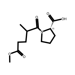 COC(=O)CCC(C)C(=O)N1CCC[C@H]1C(=O)O